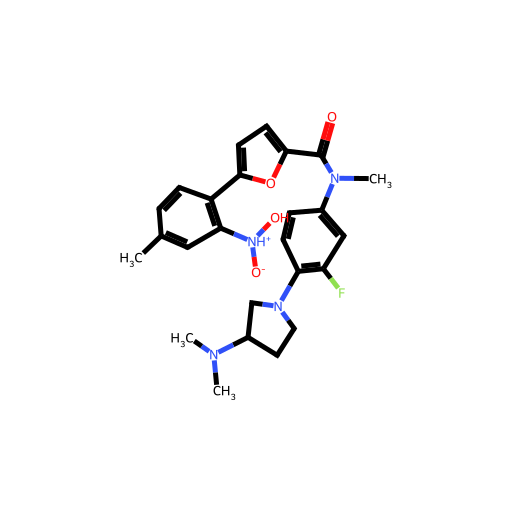 Cc1ccc(-c2ccc(C(=O)N(C)c3ccc(N4CCC(N(C)C)C4)c(F)c3)o2)c([NH+]([O-])O)c1